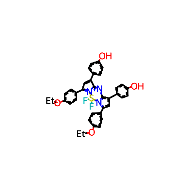 CCOc1ccc(C2=[N+]3C(=Nc4c(-c5ccc(O)cc5)cc(-c5ccc(OCC)cc5)n4S3(F)F)C(c3ccc(O)cc3)=C2)cc1